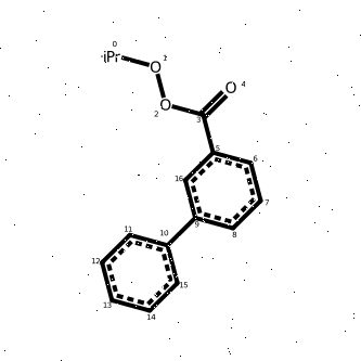 C[C](C)OOC(=O)c1cccc(-c2ccccc2)c1